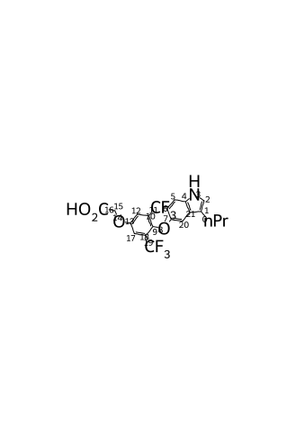 CCCc1c[nH]c2ccc(Oc3c(C(F)(F)F)cc(OCC(=O)O)cc3C(F)(F)F)cc12